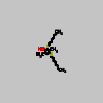 CCCCCCCCSc1cc(C)c(O)c(SCCCCCCCC)c1C